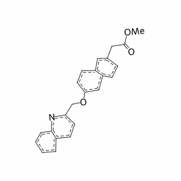 COC(=O)Cc1ccc2cc(OCc3ccc4ccccc4n3)ccc2c1